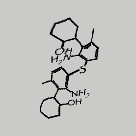 Cc1ccc(Sc2ccc(C)c(C3CCCCC3O)c2N)c(N)c1C1CCCCC1O